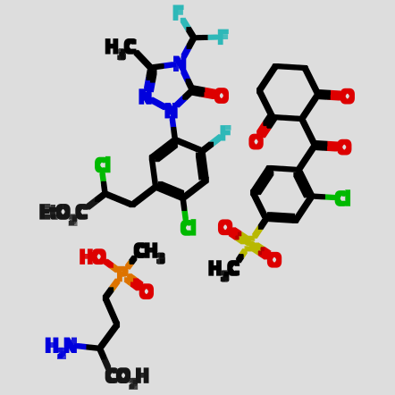 CCOC(=O)C(Cl)Cc1cc(-n2nc(C)n(C(F)F)c2=O)c(F)cc1Cl.CP(=O)(O)CCC(N)C(=O)O.CS(=O)(=O)c1ccc(C(=O)C2C(=O)CCCC2=O)c(Cl)c1